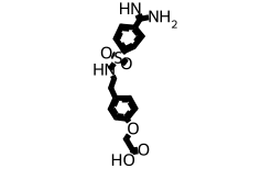 N=C(N)c1ccc(S(=O)(=O)NCCc2ccc(OCC(=O)O)cc2)cc1